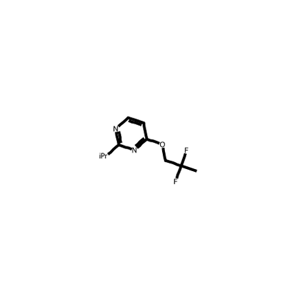 CC(C)c1nccc(OCC(C)(F)F)n1